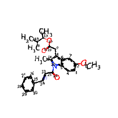 COc1ccc2c(c1)c(CC(=O)OC(C)C(C)C)c(C)n2C(=O)/C=C/c1ccccc1